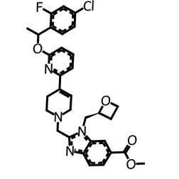 COC(=O)c1ccc2nc(CN3CC=C(c4cccc(OC(C)c5ccc(Cl)cc5F)n4)CC3)n(C[C@@H]3CCO3)c2c1